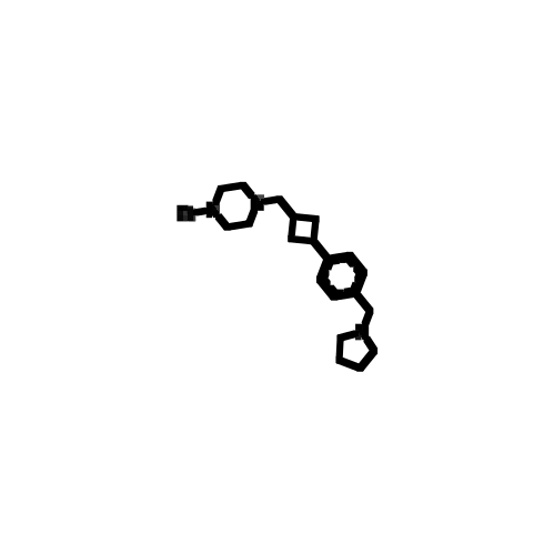 CCN1CCN(CC2CC(c3ccc(CN4CCCC4)cc3)C2)CC1